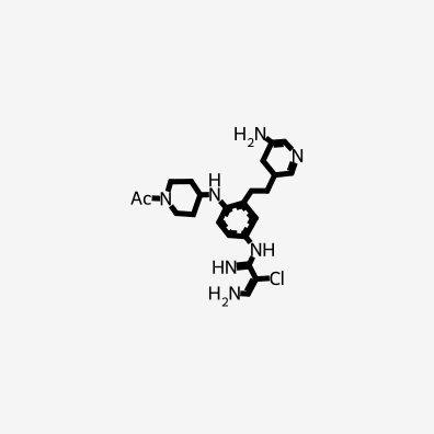 CC(=O)N1CCC(Nc2ccc(NC(=N)/C(Cl)=C\N)cc2CCC2C=NC=C(N)C2)CC1